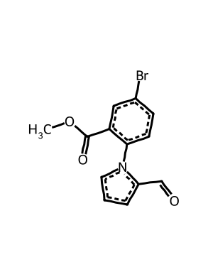 COC(=O)c1cc(Br)ccc1-n1cccc1C=O